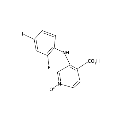 O=C(O)c1cc[n+]([O-])cc1Nc1ccc(I)cc1F